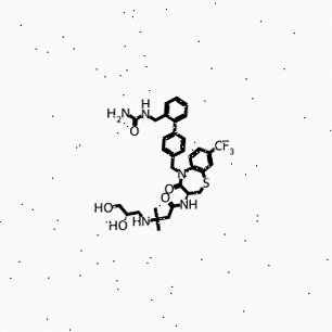 CC(C)(CC(=O)N[C@@H]1CSc2cc(C(F)(F)F)ccc2N(Cc2ccc(-c3ccccc3CNC(N)=O)cc2)C1=O)NC[C@H](O)CO